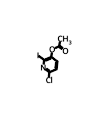 CC(=O)Oc1ccc(Cl)nc1I